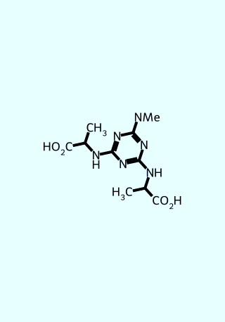 CNc1nc(NC(C)C(=O)O)nc(NC(C)C(=O)O)n1